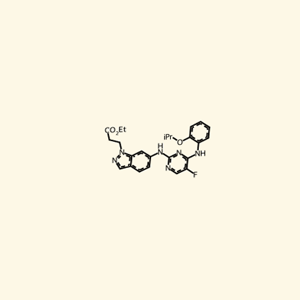 CCOC(=O)CCn1ncc2ccc(Nc3ncc(F)c(Nc4ccccc4OC(C)C)n3)cc21